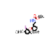 COc1ccc(C=O)c(I)c1OC1CCCC=C1CCNC(=O)OC(C)(C)C